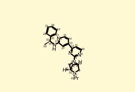 CC(C)N1C[C@@H]2C[C@H]1CN2c1nccc(-c2ccnc(N[C@@H](C)c3ccccc3)c2)n1